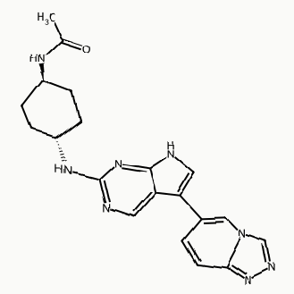 CC(=O)N[C@H]1CC[C@H](Nc2ncc3c(-c4ccc5nncn5c4)c[nH]c3n2)CC1